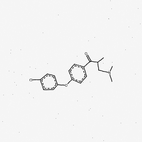 CC(CN(C)C)C(=O)c1ccc(Oc2ccc(Cl)cc2)cc1